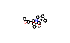 CC1(C)c2ccccc2-c2cccc(-c3cccc(N(c4ccc(-c5ccc6oc7ccccc7c6c5)cc4)c4ccccc4-c4cccc5cccc(C6CCCCC6)c45)c3)c21